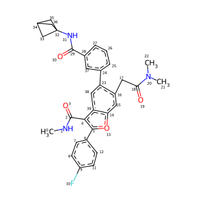 CNC(=O)c1c(-c2ccc(F)cc2)oc2cc(CC(=O)N(C)C)c(-c3cccc(C(=O)NC45CC(C4)C5)c3)cc12